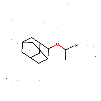 CC(C)C(C)OC1C2CC3CC(C2)CC1C3